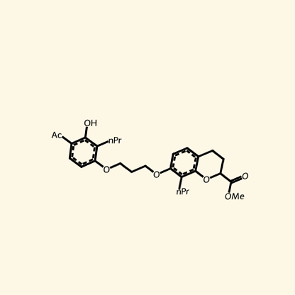 CCCc1c(OCCCOc2ccc3c(c2CCC)OC(C(=O)OC)CC3)ccc(C(C)=O)c1O